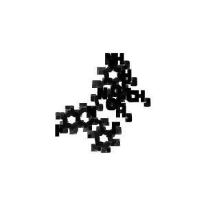 CC(C)(C)OC(=O)N(CCN1Cc2ccc(F)cc2CC1Cc1ccccc1F)Cc1cccc(N)c1